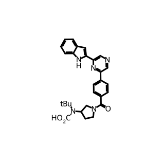 CC(C)(C)N(C(=O)O)C1CCN(C(=O)c2ccc(-c3cncc(-c4cc5ccccc5[nH]4)n3)cc2)C1